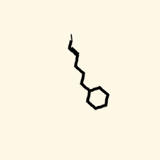 IC=CCCCC1CCCCC1